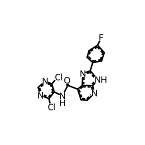 O=C(Nc1c(Cl)ncnc1Cl)c1ccnc2[nH]c(-c3ccc(F)cc3)nc12